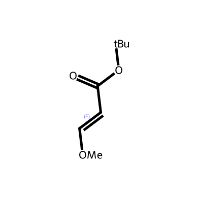 CO/C=C/C(=O)OC(C)(C)C